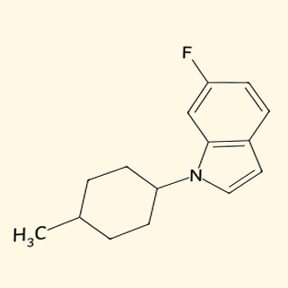 CC1CCC(n2ccc3ccc(F)cc32)CC1